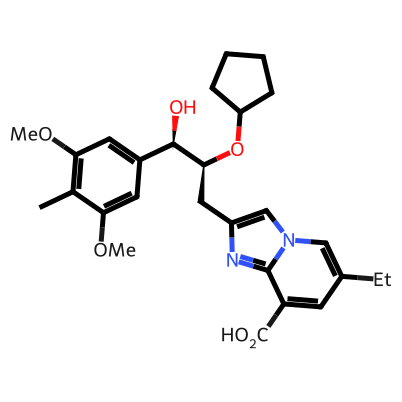 CCc1cc(C(=O)O)c2nc(C[C@H](OC3CCCC3)[C@H](O)c3cc(OC)c(C)c(OC)c3)cn2c1